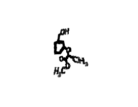 COC(=O)C(C)Oc1cccc(CO)c1